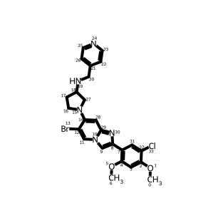 COc1cc(OC)c(-c2cn3cc(Br)c(N4CCC(NCc5ccncc5)C4)cc3n2)cc1Cl